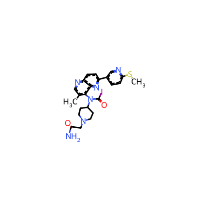 CSc1ccc(-c2ccc3ncc(C)c(N(C(=O)I)C4CCN(CC(N)=O)CC4)c3n2)cn1